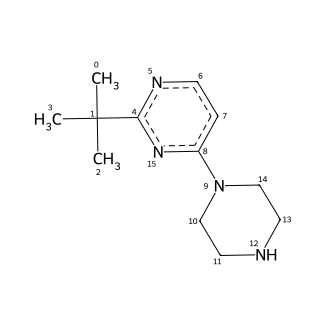 CC(C)(C)c1nccc(N2CCNCC2)n1